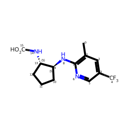 Cc1cc(C(F)(F)F)cnc1N[C@H]1CCC[C@@H]1NC(=O)O